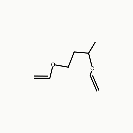 [CH2]C(CCOC=C)OC=C